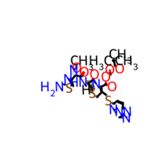 CO/N=C(\C(=O)N[C@@H]1C(=O)N2C(C(=O)OCOC(=O)C(C)(C)C)=C(CSc3ccc4nncn4n3)CS[C@@H]12)c1csc(N)n1